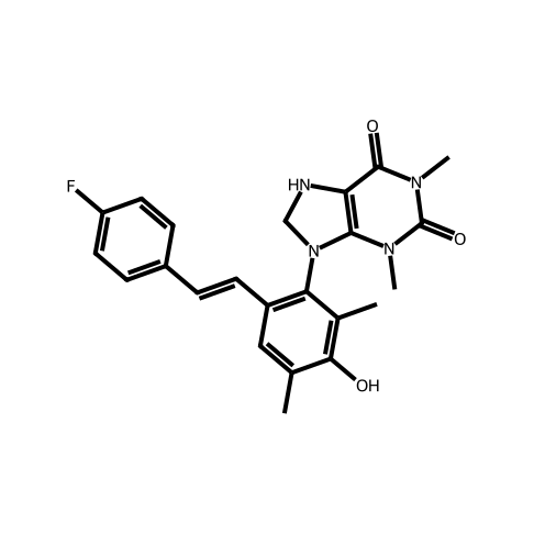 Cc1cc(C=Cc2ccc(F)cc2)c(N2CNc3c2n(C)c(=O)n(C)c3=O)c(C)c1O